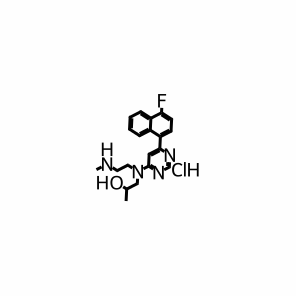 CNCCN(CC(C)O)c1cc(-c2ccc(F)c3ccccc23)ncn1.Cl